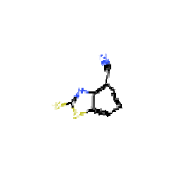 N#Cc1cccc2sc(S)nc12